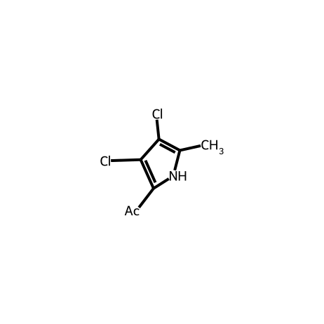 CC(=O)c1[nH]c(C)c(Cl)c1Cl